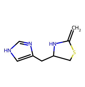 C=C1NC(Cc2c[nH]cn2)CS1